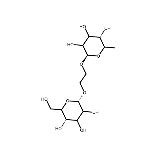 CC1O[C@@H](OCCO[C@H]2OC(CO)[C@@H](O)C(O)C2O)C(O)C(O)[C@@H]1O